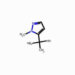 CCCCC(C)(CCC)c1ccnn1C